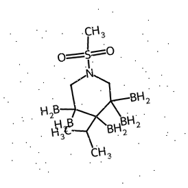 BC1(B)CN(S(C)(=O)=O)CC(B)(B)C1(B)C(C)C